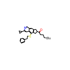 CC(C)(C)CCCC(=O)C1Cc2cc3cnc(C4CC4)cc3c(SCCc3ccccc3)c2C1